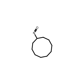 O=NC1CCCCCCCCC1